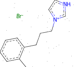 Cc1ccccc1CCC[n+]1cc[nH]c1.[Br-]